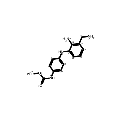 CCCCOC(=O)Nc1ccc(Nc2cccc(CN)c2N)cc1